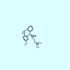 CCc1ccc2c(c1)C(NCCCN(CC)CC)c1ccccc1CO2